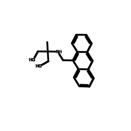 CC(CO)(CO)NCc1c2ccccc2cc2ccccc12